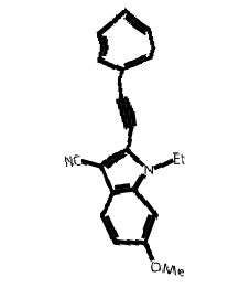 CCn1c(C#Cc2ccccc2)c(C#N)c2ccc(OC)cc21